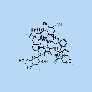 CC[C@H](C)[C@@H]([C@H](CC(=O)N1CCC[C@H]1[C@H](OC)[C@@H](C)C(=O)N[C@@H](Cc1ccccc1)C(=O)O)OC)N(C)C(=O)[C@@H](NC(=O)[C@H](C(C)C)[N+](C)(C)Cc1ccc(O[C@@H]2O[C@H](C(=O)O)[C@@H](O)[C@@H](O)[C@@H]2O)c(NC(=O)CCNC(=O)[C@H](CN)N2C(=O)C=CC2=O)c1)C(C)C